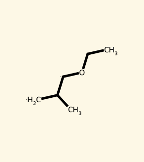 [CH2]C(C)[CH]OCC